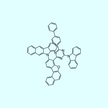 c1ccc(-c2ccc(-c3nc(-c4c(-n5c6ccccc6c6cc7ccccc7cc65)ccc5c4oc4ccc6ccccc6c45)nc(-n4c5ccccc5c5ccccc54)n3)cc2)cc1